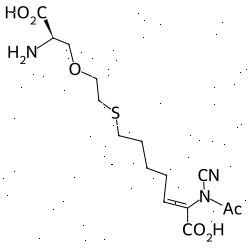 CC(=O)N(C#N)/C(=C\CCCCSCCOC[C@@H](N)C(=O)O)C(=O)O